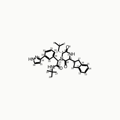 CC(C)C[C@@H]1C(=O)NC(C2Cc3ccccc3C2)C(=O)N1[C@@H](C(=O)NC(C)(C)C)c1cccc(-c2cc[nH]n2)c1